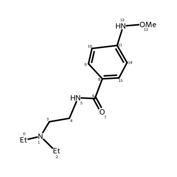 CCN(CC)CCNC(=O)c1ccc(NOC)cc1